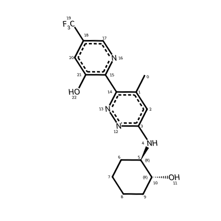 Cc1cc(N[C@@H]2CCCC[C@H]2O)nnc1-c1ncc(C(F)(F)F)cc1O